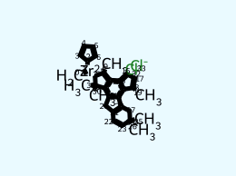 [CH2]=[Zr+2]([CH]1C=CC=C1)[CH]1C(C)=c2c(c3c(c4c2=CC=C4C)C2=C(C=CC(C)(C)C2)C3)C1(C)C.[Cl-].[Cl-]